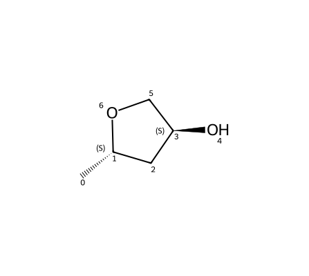 C[C@H]1C[C@H](O)CO1